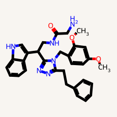 COc1ccc(Cn2c(CCc3ccccc3)nnc2C(CNC(=O)CN)c2c[nH]c3ccccc23)c(OC)c1